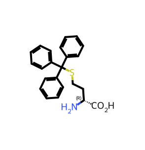 N[C@H](CCSC(c1ccccc1)(c1ccccc1)c1ccccc1)C(=O)O